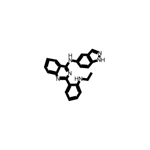 CCNc1ccccc1-c1nc(Nc2ccc3[nH]ncc3c2)c2ccccc2n1